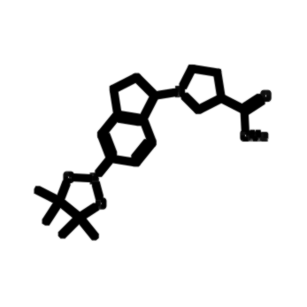 COC(=O)C1CCN(C2CCc3cc(B4OC(C)(C)C(C)(C)O4)ccc32)C1